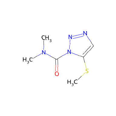 CSc1cnnn1C(=O)N(C)C